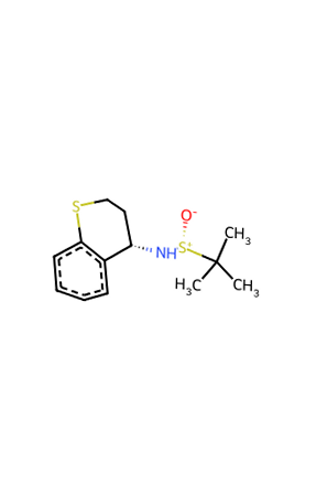 CC(C)(C)[S@@+]([O-])N[C@H]1CCSc2ccccc21